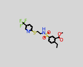 CCc1ccc(S(=O)(=O)NCCSc2ccc(C(F)(F)F)cn2)cc1C(=O)OC